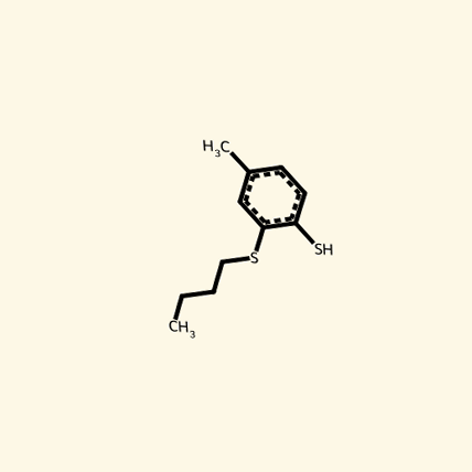 CCCCSc1cc(C)ccc1S